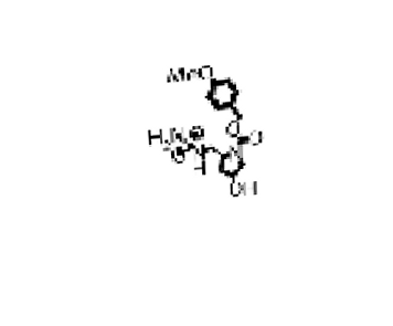 COc1ccc(COC(=O)N2C[C@H](O)C[C@H]2CNS(N)(=O)=O)cc1